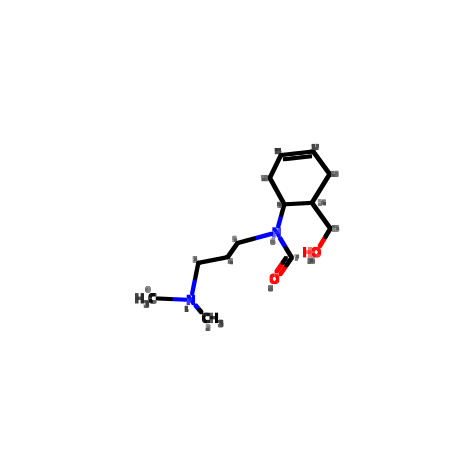 CN(C)CCCN(C=O)C1CC=CCC1CO